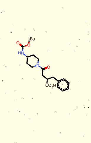 CC(C)(C)OC(=O)NC1CCN(C(=O)CC(Cc2ccccc2)C(=O)O)CC1